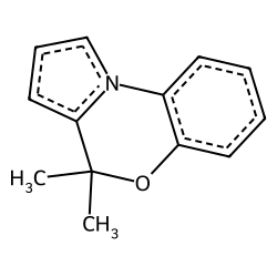 CC1(C)Oc2ccccc2-n2cccc21